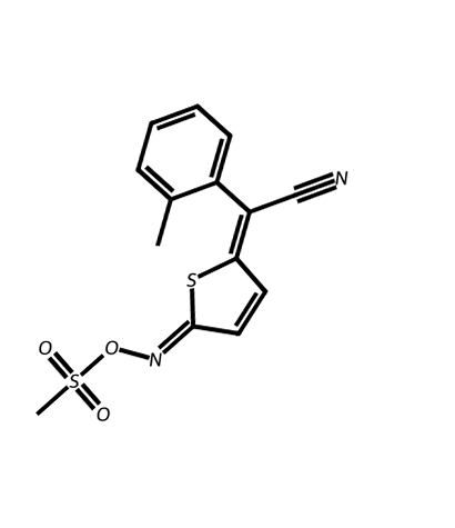 Cc1ccccc1C(C#N)=C1C=CC(=NOS(C)(=O)=O)S1